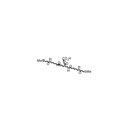 CSCCC(=O)NCCCCCC(=O)NCCN(CCNC(=O)CCCCCNC(=O)CCSSC)C(=O)COCC(=O)O